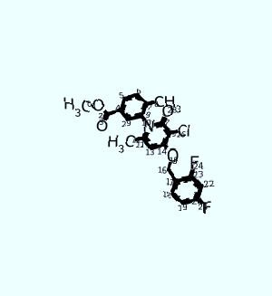 COC(=O)c1ccc(C)c(-n2c(C)cc(OCc3ccc(F)cc3F)c(Cl)c2=O)c1